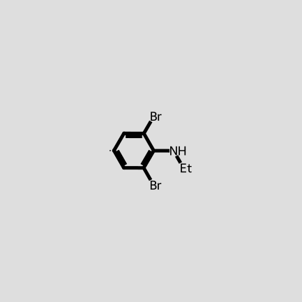 CCNc1c(Br)c[c]cc1Br